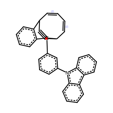 C1#CC2/C=C\C=C/C1c1ccccc1N2c1cccc(-n2c3ccccc3c3ccccc32)c1